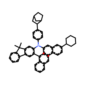 CC1(C)c2ccccc2-c2cc(-c3cccc4ccccc34)c(N(c3ccc(C4CC5CCC4C5)cc3)c3ccc4ccc(C5CCCCC5)cc4c3)cc21